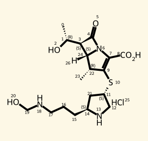 C[C@@H](O)[C@H]1C(=O)N2C(C(=O)O)=C(S[C@@H]3CN[C@@H](CCCNCO)C3)[C@H](C)[C@H]12.Cl